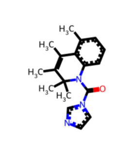 CC1=C(C)C(C)(C)N(C(=O)n2ccnc2)c2cccc(C)c21